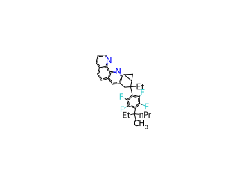 CCCC(C)(CC)c1c(F)c(F)c(C(CC)(Cc2cnc3c(ccc4cccnc43)c2)C2CC2)c(F)c1F